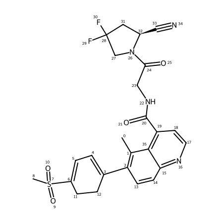 Cc1c(C2=CC=C(S(C)(=O)=O)CC2)ccc2nccc(C(=O)NCC(=O)N3CC(F)(F)C[C@H]3C#N)c12